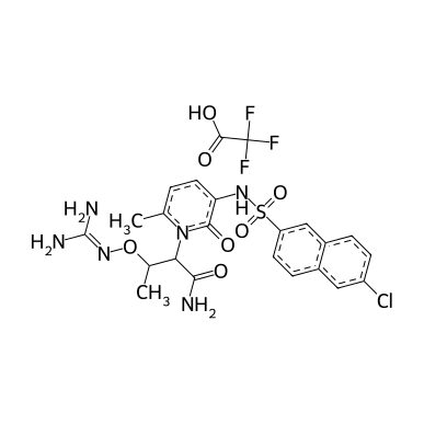 Cc1ccc(NS(=O)(=O)c2ccc3cc(Cl)ccc3c2)c(=O)n1C(C(N)=O)C(C)ON=C(N)N.O=C(O)C(F)(F)F